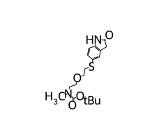 CN(CCOCCSc1ccc2c(c1)CC(=O)N2)C(=O)OC(C)(C)C